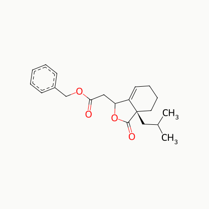 CC(C)C[C@]12CCCC=C1C(CC(=O)OCc1ccccc1)OC2=O